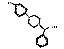 CCOC(=O)C(c1ccccc1)N1CCN(c2ccc(N)cc2)CC1